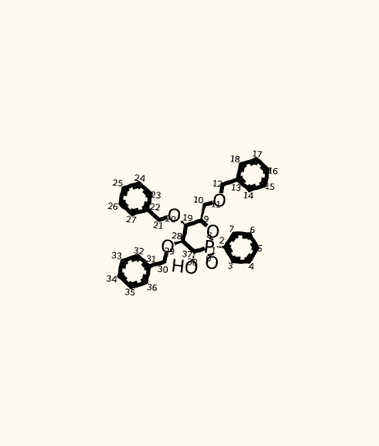 O=[P@]1(c2ccccc2)O[C@H](COCc2ccccc2)[C@@H](OCc2ccccc2)[C@H](OCc2ccccc2)[C@H]1O